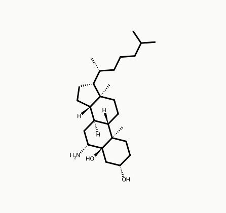 CC(C)CCC[C@@H](C)[C@H]1CC[C@H]2[C@@H]3C[C@@H](N)[C@@]4(O)C[C@@H](O)CC[C@]4(C)[C@H]3CC[C@]12C